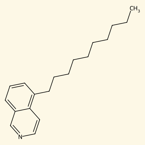 CCCCCCCCCCc1cccc2cnccc12